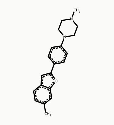 Cc1ccc2cc(-c3ccc(N4CCN(C)CC4)cc3)oc2c1